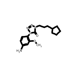 COc1cc(N)ccc1-n1nnn(CCCC2CCCC2)c1=O